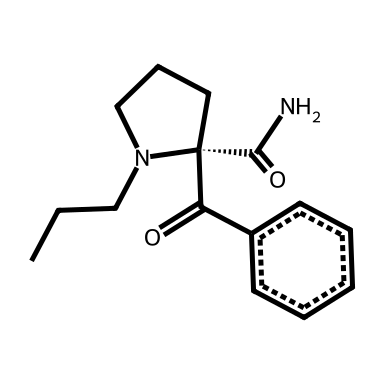 CCCN1CCC[C@@]1(C(N)=O)C(=O)c1ccccc1